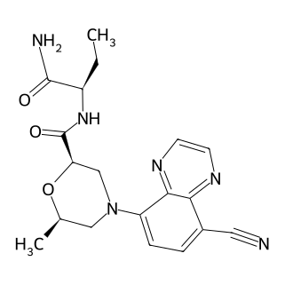 CC[C@@H](NC(=O)[C@H]1CN(c2ccc(C#N)c3nccnc23)C[C@@H](C)O1)C(N)=O